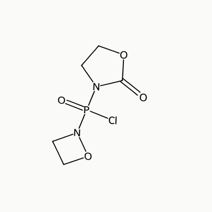 O=C1OCCN1P(=O)(Cl)N1CCO1